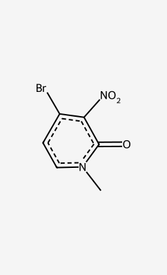 Cn1ccc(Br)c([N+](=O)[O-])c1=O